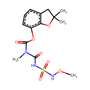 CONS(=O)(=O)NC(=O)N(C)C(=O)Oc1cccc2c1OC(C)(C)C2